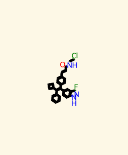 O=C(C=Cc1ccc(C(=C(c2ccccc2)C2CCC2)c2ccc3[nH]nc(F)c3c2)cc1)NCCCl